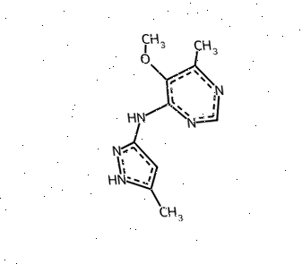 COc1c(C)ncnc1Nc1cc(C)[nH]n1